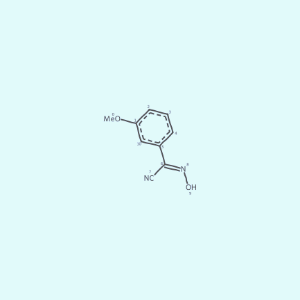 COc1cccc(C(C#N)=NO)c1